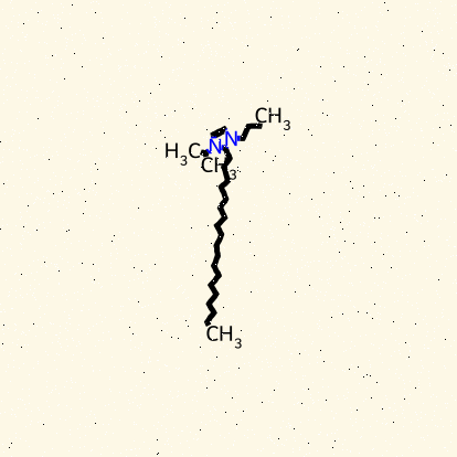 CCCCCCCCCCCCCCCCCCCC1N(CCCC)C=CN1C(C)C